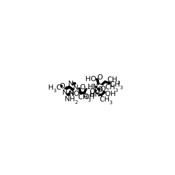 COc1nc(N)nc2c1ncn2[C@@H]1O[C@H](COP(=O)(N[C@H](C)C(=O)O)N[C@H](CCC(C)(C)C)C(=O)O)[C@@H](O)[C@@]1(C)O